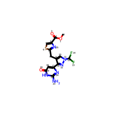 COC(=O)c1csc(Cc2cn(C(F)F)nc2-c2cc(=O)[nH]c(N)n2)n1